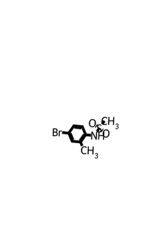 Cc1cc(Br)ccc1NS(C)(=O)=O